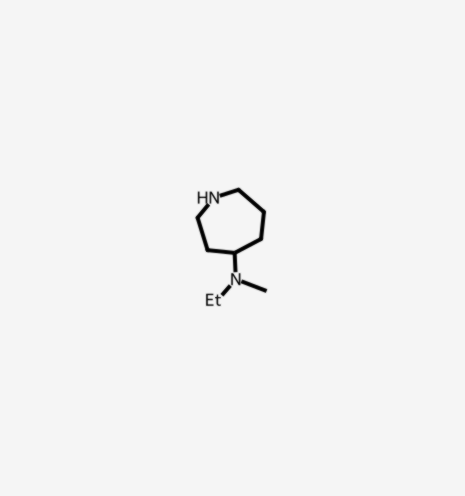 CCN(C)C1CCCNCC1